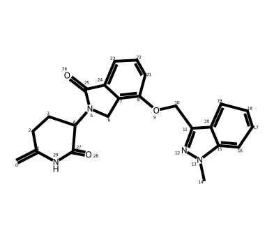 C=C1CCC(N2Cc3c(OCc4nn(C)c5ccccc45)cccc3C2=O)C(=O)N1